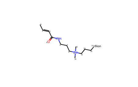 CC=CC(=O)NCCC[N+](C)(C)CCCCCCCCCCCC